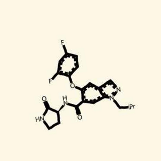 CC(C)Cn1ncc2cc(Oc3ccc(F)cc3F)c(C(=O)N[C@H]3CCNC3=O)cc21